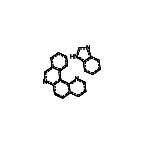 c1ccc2[nH]cnc2c1.c1ccc2c(c1)cnc1ccc3cccnc3c12